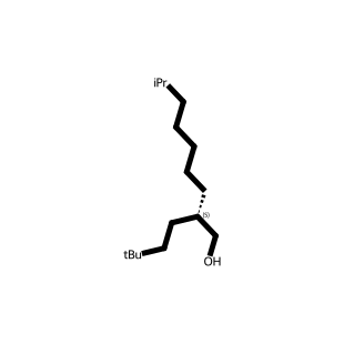 CC(C)CCCCC[C@H](CO)CCC(C)(C)C